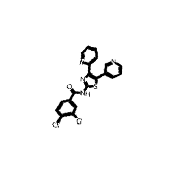 O=C(Nc1nc(-c2ccccn2)c(-c2cccnc2)s1)c1ccc(Cl)c(Cl)c1